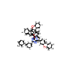 c1ccc(-c2cccc(-c3nc(-c4ccc5c(c4)oc4ccccc45)nc(-c4ccc5oc6ccccc6c5c4C45CC4c4cc6ccccc6cc4-c4ccccc45)n3)c2)cc1